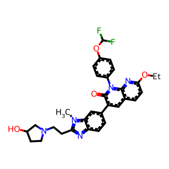 CCOc1ccc2cc(-c3ccc4nc(CCN5CCC(O)C5)n(C)c4c3)c(=O)n(-c3ccc(OC(F)F)cc3)c2n1